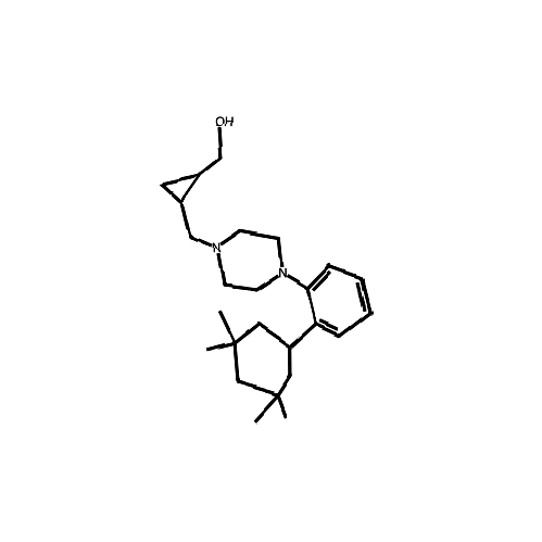 CC1(C)CC(c2ccccc2N2CCN(CC3CC3CO)CC2)CC(C)(C)C1